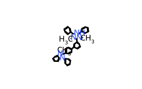 CN1c2ccccc2N(c2ccccc2)C1c1ccc(-c2cccc(C3N(C)C(c4ccccc4)NC(c4ccccc4)N3C)c2)cc1